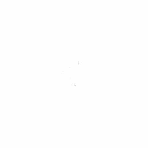 [Cl-].[Cl-].[Cl-].[Mn+2].[Rb+]